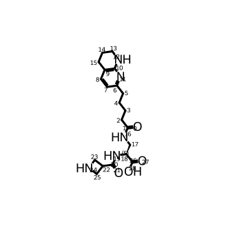 O=C(CCCCc1ccc2c(n1)NCCC2)NC[C@H](NC(=O)C1CNC1)C(=O)O